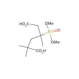 COP(=O)(OC)C(C)(CC(=O)O)CC(C)(C)C(=O)O